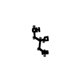 OCC(Cl)[CH2][Na]